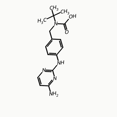 CC(C)(C)N(Cc1ccc(Nc2nccc(N)n2)cc1)C(=O)O